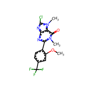 COc1cc(C(F)(F)F)ccc1-c1nc2nc(Cl)n(C)c2c(=O)n1C